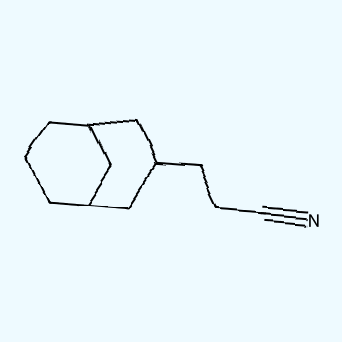 N#CCCC1CC2CCCC(C1)C2